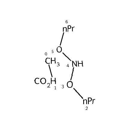 CC(=O)O.CCCONOCCC